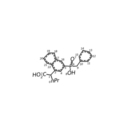 CCCC(C(=O)O)c1cc(P(=O)(O)Cc2ccccc2)cc2ccccc12